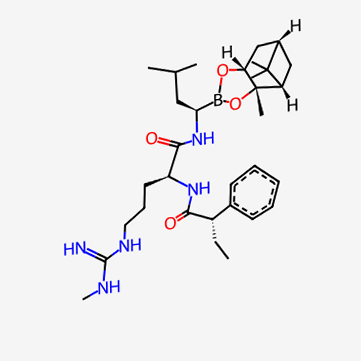 CC[C@H](C(=O)N[C@@H](CCCNC(=N)NC)C(=O)N[C@@H](CC(C)C)B1O[C@@H]2C[C@@H]3C[C@@H](C3(C)C)[C@]2(C)O1)c1ccccc1